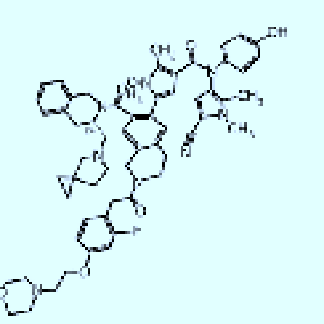 Cc1c(N(C(=O)c2cc(-c3cc4c(cc3C(=O)N3Cc5ccccc5C[C@H]3CN3CCC5(CC5)C3)CN(C(=O)Cc3ccc(OCCN5CCOCC5)cc3F)CC4)n(C)c2C)c2ccc(O)cc2)cc(C#N)n1C